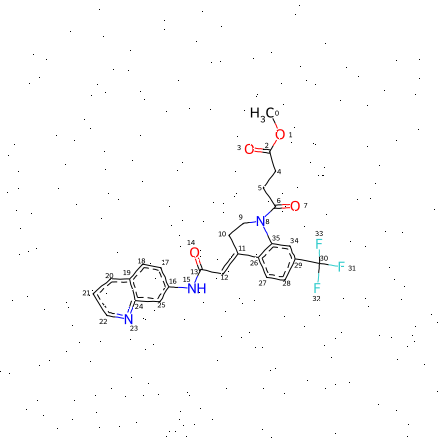 COC(=O)CCC(=O)N1CC/C(=C\C(=O)Nc2ccc3cccnc3c2)c2ccc(C(F)(F)F)cc21